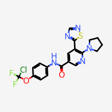 O=C(Nc1ccc(OC(F)(F)Cl)cc1)c1cnc(N2CCCC2)c(-c2ncns2)c1